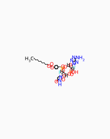 CCCCCCCCCCOC(=O)Oc1ccc(CSP2(=O)OC[C@H]3O[C@@H](n4cnc5c(N)ncnc54)[C@H](F)[C@@H]3OP(=O)(O)OC[C@H]3O[C@@H](n4ccc(=O)[nH]c4=O)[C@H](F)[C@@H]3O2)cc1